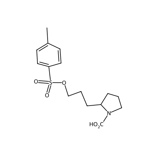 Cc1ccc(S(=O)(=O)OCCCC2CCCN2C(=O)O)cc1